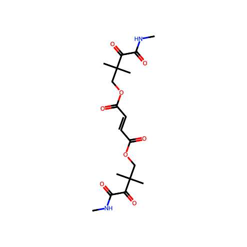 CNC(=O)C(=O)C(C)(C)COC(=O)/C=C/C(=O)OCC(C)(C)C(=O)C(=O)NC